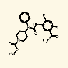 CC(C)(C)OC(=O)N1CCC(N(C(=O)Nc2cc(C(N)=O)c(F)cc2F)c2ccccc2)CC1